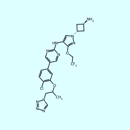 CC(Cn1cnnn1)Oc1cc(-c2cnc(Nc3cn([C@H]4C[C@H](N)C4)nc3OCC(F)(F)F)nc2)ccc1Cl